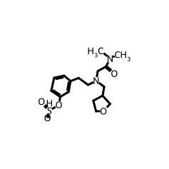 CN(C)C(=O)CN(CCc1cccc(O[SH](=O)=O)c1)CC1CCOC1